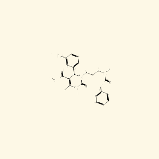 CC1=C(C(=O)OC(C)C)C(c2cccc([N+](=O)[O-])c2)N(CCCN(C)C(=O)Oc2ccccc2)C(=O)N1